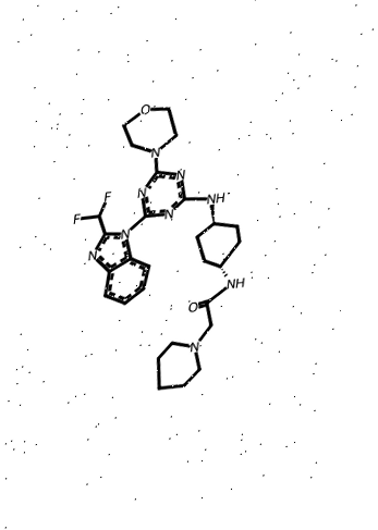 O=C(CN1CCCCC1)N[C@H]1CC[C@H](Nc2nc(N3CCOCC3)nc(-n3c(C(F)F)nc4ccccc43)n2)CC1